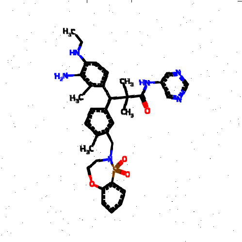 CCNc1ccc(C(c2ccc(C)c(CN3CCOc4ccccc4S3(=O)=O)c2)C(C)(C)C(=O)Nc2cncnc2)c(C)c1N